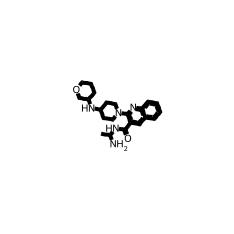 CC(N)NC(=O)c1cc2ccccc2nc1N1CCC(NC2CCCOC2)CC1